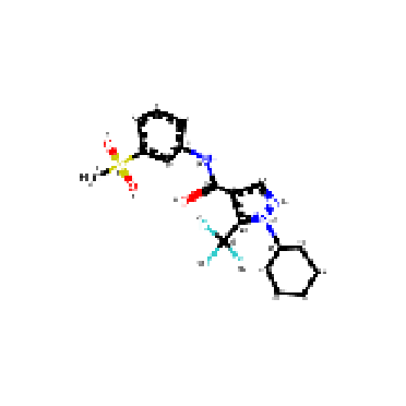 CS(=O)(=O)c1cccc(NC(=O)c2cnn(C3CCCCC3)c2C(F)(F)F)c1